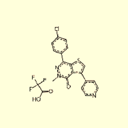 Cn1nc(-c2ccc(Cl)cc2)c2scc(-c3ccncc3)c2c1=O.O=C(O)C(F)(F)F